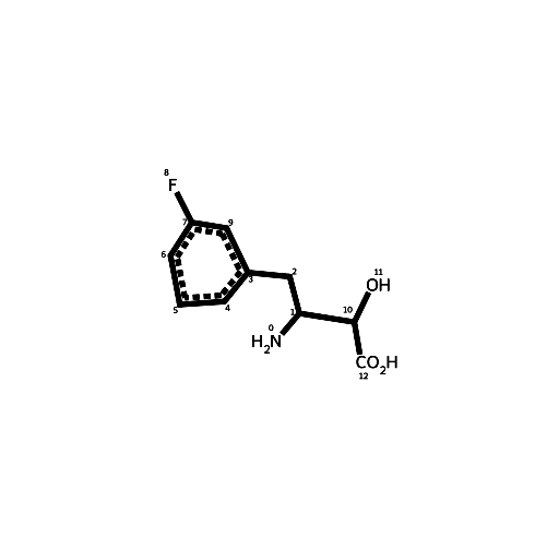 NC(Cc1cccc(F)c1)C(O)C(=O)O